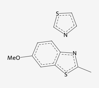 COc1ccc2nc(C)sc2c1.c1cscn1